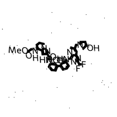 COC(=O)CN[C@@H]1CCCn2nc(C(=O)Nc3cccc(-c4cccc(Nc5nc(C(F)F)nc6cc(CN7CC[C@@H](O)C7)cnc56)c4C)c3C)cc21